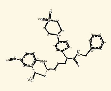 CCC[C@@H](CCCN(C(=O)NCc1ccccc1)c1ccc(N2CCS(=O)(=O)CC2)cc1)Nc1ccc(C#N)cn1